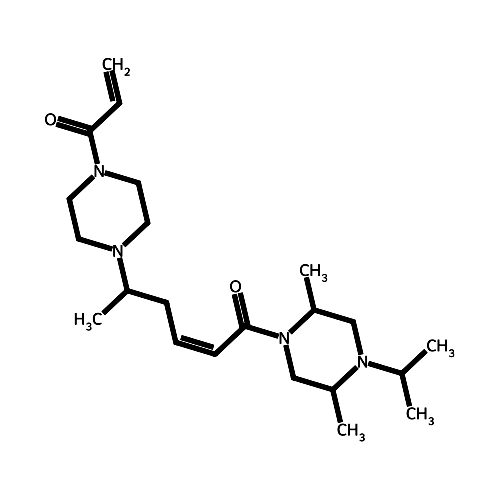 C=CC(=O)N1CCN(C(C)C/C=C\C(=O)N2CC(C)N(C(C)C)CC2C)CC1